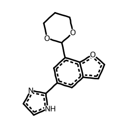 c1c[nH]c(-c2cc(C3OCCCO3)c3occc3c2)n1